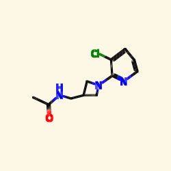 CC(=O)NCC1CN(c2ncccc2Cl)C1